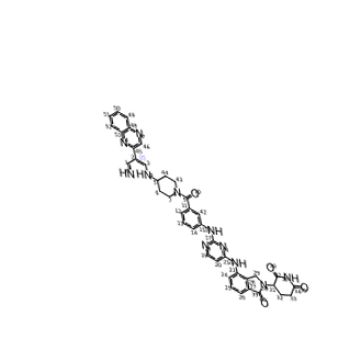 N=C/C(=C\NC1CCN(C(=O)c2cccc(Nc3nccc(Nc4cccc5c4CN(C4CCC(=O)NC4=O)C5=O)n3)c2)CC1)c1cnc2ccccc2n1